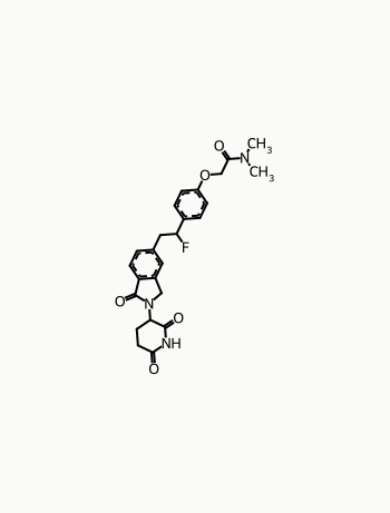 CN(C)C(=O)COc1ccc(C(F)Cc2ccc3c(c2)CN(C2CCC(=O)NC2=O)C3=O)cc1